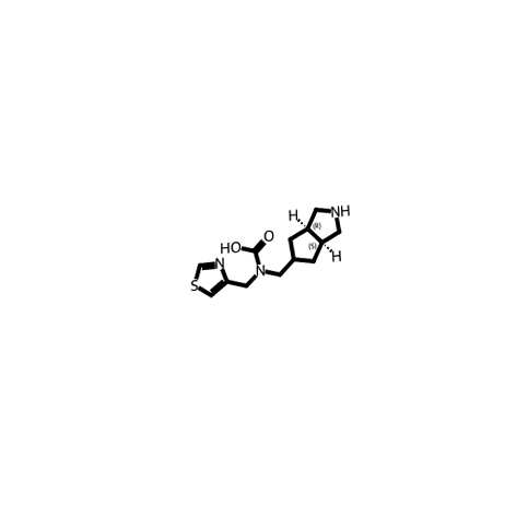 O=C(O)N(Cc1cscn1)CC1C[C@H]2CNC[C@H]2C1